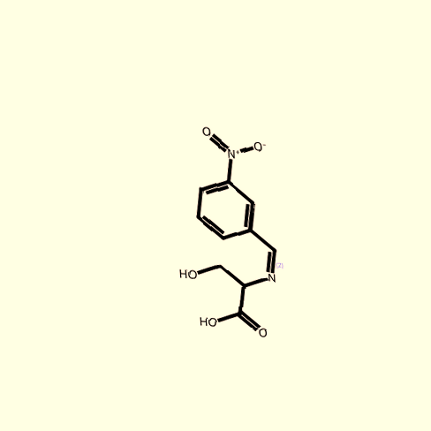 O=C(O)C(CO)/N=C\c1cccc([N+](=O)[O-])c1